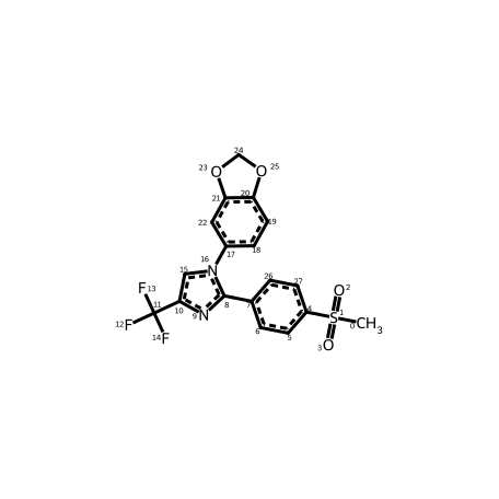 CS(=O)(=O)c1ccc(-c2nc(C(F)(F)F)cn2-c2ccc3c(c2)OCO3)cc1